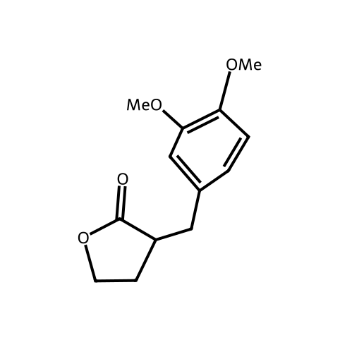 COc1ccc(CC2CCOC2=O)cc1OC